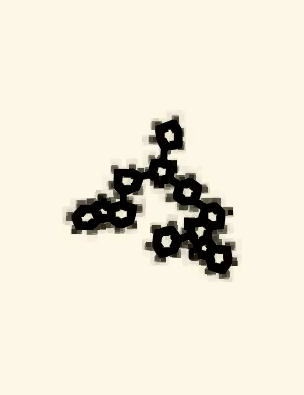 c1ccc(-c2cc(-c3cccc(-c4cccc5c4sc4ccccc45)c3)nc(-c3ccc(-c4cccc5c4nc(-c4ccccc4)c4oc6ccccc6c45)cc3)n2)cc1